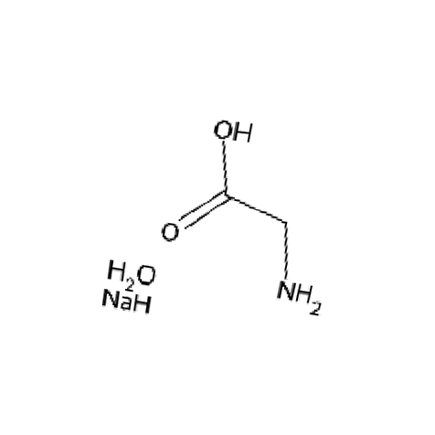 NCC(=O)O.O.[NaH]